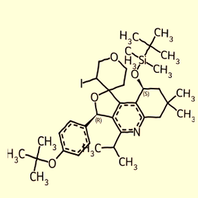 CC(C)c1nc2c(c3c1[C@@H](c1ccc(OC(C)(C)C)cc1)OC31CCOCC1I)[C@@H](O[Si](C)(C)C(C)(C)C)CC(C)(C)C2